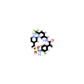 CCC1CCNC(N2C=C(CNC(=O)C(C)c3ccc(NS(C)(=O)=O)c(F)c3)C=CC2C(F)(F)F)C1